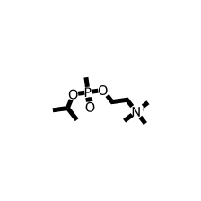 CC(C)OP(C)(=O)OCC[N+](C)(C)C